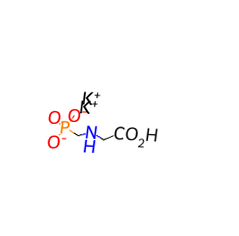 O=C(O)CNCP(=O)([O-])[O-].[K+].[K+]